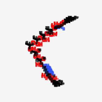 CC(=O)O.CC(=O)O.CC(=O)O.CC(=O)O.CC(=O)O.CC(=O)O.N.N.N.N.N.O.O.O.[O-2].[O-2].[O-2].[Zn+2].[Zn+2].[Zn+2].[Zn+2].[Zn+2]